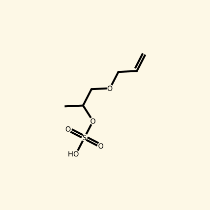 C=CCOCC(C)OS(=O)(=O)O